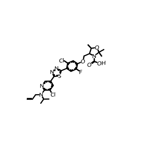 C=CCN(c1ncc(-c2nnc(-c3cc(F)c(OCC4C(C)OC(C)(C)N4C(=O)O)cc3Cl)s2)cc1Cl)C(C)C